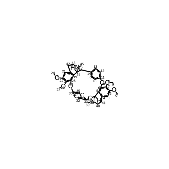 COc1cc2c3c(c1OC)Oc1ccc(cc1)C[C@@H]1c4c(cc(OC)c(OC)c4Oc4ccc(cc4)C[C@H]3N(C)CC2)CCN1C